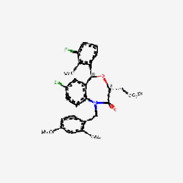 CCOC(=O)C[C@H]1O[C@H](c2cccc(F)c2OC)c2cc(Cl)ccc2N(Cc2ccc(OC)cc2OC)C1=O